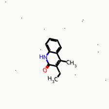 CCc1c(C)c2ccccc2[nH]c1=O